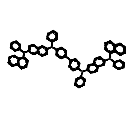 c1ccc(N(c2ccc(-c3ccc(N(c4ccccc4)c4ccc5cc(N(c6ccccc6)c6cccc7ccccc67)ccc5c4)cc3)cc2)c2ccc3cc(N(c4ccccc4)c4cccc5ccccc45)ccc3c2)cc1